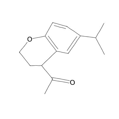 CC(=O)C1CCOc2ccc(C(C)C)cc21